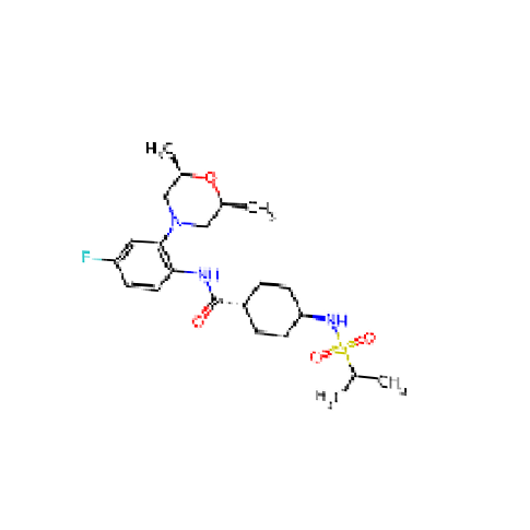 CC(C)S(=O)(=O)N[C@H]1CC[C@H](C(=O)Nc2ccc(F)cc2N2C[C@@H](C)O[C@@H](C)C2)CC1